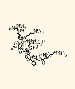 CC(C)C[C@H](NC(=O)[C@@H]1CCCN1C(=O)CNC(=O)[C@@H](N)CCCCN)C(=O)NCC(=O)N[C@H](C(=O)N[C@@H](CCCNC(=N)N)C(=O)N[C@@H](CCCCN)C(=O)N[C@@H](CS)C(=O)O)C(C)C